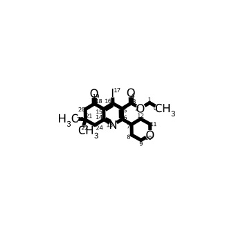 CCOC(=O)c1c(C2CCOCC2)nc2c(c1I)C(=O)CC(C)(C)C2